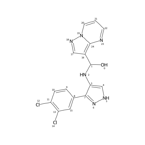 OC(Nc1c[nH]nc1-c1ccc(Cl)c(Cl)c1)c1cnn2cccnc12